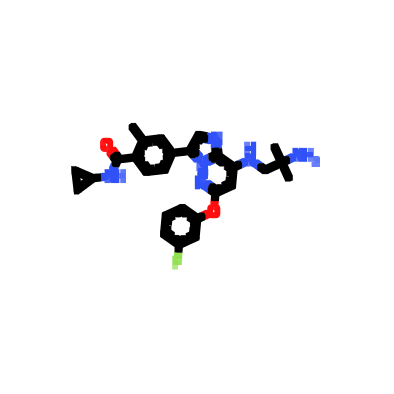 Cc1cc(-c2cnc3c(NCC(C)(C)N)cc(Oc4cccc(F)c4)nn23)ccc1C(=O)NC1CC1